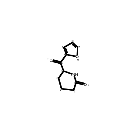 O=C1CCCC(C(=O)c2ccco2)N1